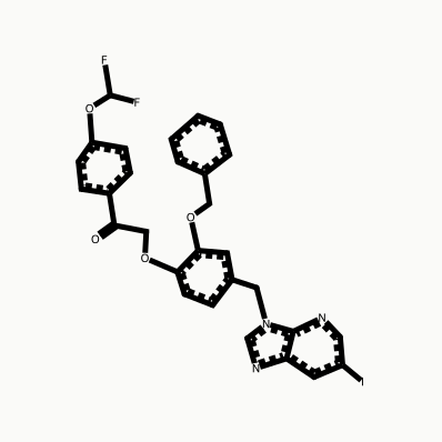 O=C(COc1ccc(Cn2cnc3cc(I)cnc32)cc1OCc1ccccc1)c1ccc(OC(F)F)cc1